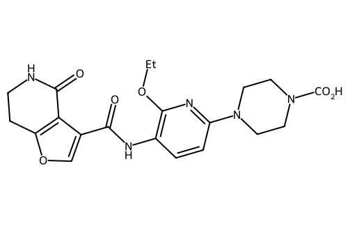 CCOc1nc(N2CCN(C(=O)O)CC2)ccc1NC(=O)c1coc2c1C(=O)NCC2